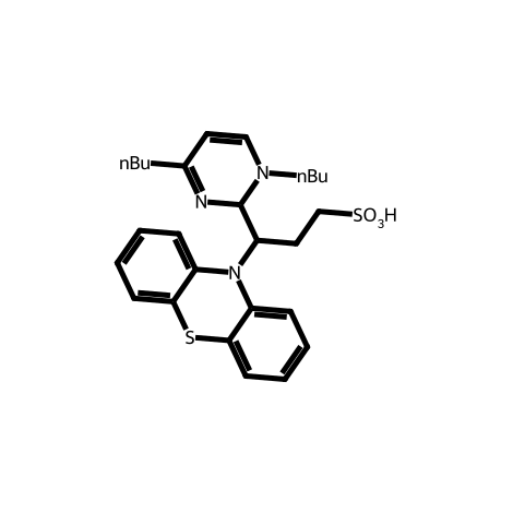 CCCCC1=NC(C(CCS(=O)(=O)O)N2c3ccccc3Sc3ccccc32)N(CCCC)C=C1